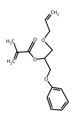 C=CCOCC(COc1ccccc1)OC(=O)C(=C)C